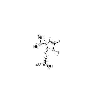 Cc1nn(C(=N)N)c(C)c1Cl.O=[N+]([O-])O